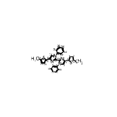 Cc1ccc(-c2cn(-c3ccccc3)c(-c3nc(-c4ccc(C)s4)cn3-c3ccccc3)n2)s1